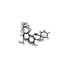 C#CC1(Nc2cc3c(=O)c(OC(=O)O)cn(CC)c3nc2C)CCCCC1